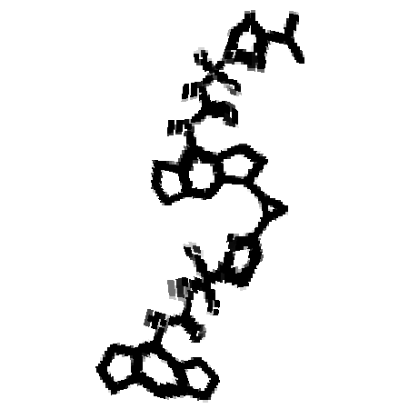 CC(C)c1ncn(S(=O)(=O)NC(=O)Nc2c3c(cc4c2CCC4C2CC2c2ccn(S(=O)(=O)NC(=O)Nc4c5c(cc6c4CCC6)CCC5)n2)CCC3)n1